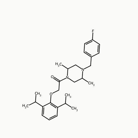 CC(C)c1cccc(C(C)C)c1OCC(=O)N1CC(C)N(Cc2ccc(F)cc2)CC1C